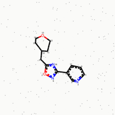 c1cncc(-c2noc(CC3CCOCC3)n2)c1